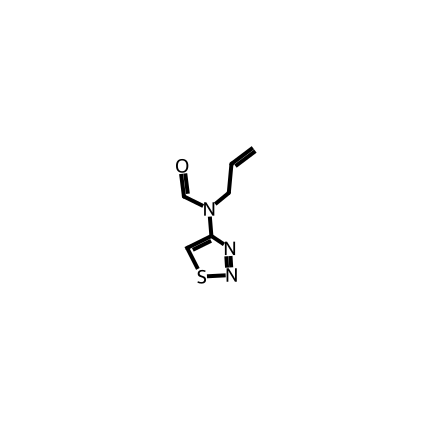 C=CCN(C=O)c1csnn1